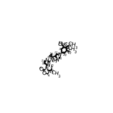 C[C@H](F)[C@H]1COC(=O)N1c1ccnc(NC2(c3cn(-c4cc(F)c(C(C)(C)C)c(Cl)c4)cn3)CC2)n1